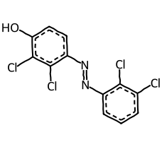 Oc1ccc(N=Nc2cccc(Cl)c2Cl)c(Cl)c1Cl